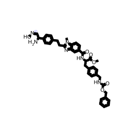 COC(=O)C(Cc1ccc(CNC(=O)OCc2ccccc2)cc1)NC(=O)c1ccc2c(c1)nc(CCc1ccc(C(N)/C=N\O)cc1)n2C